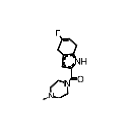 CN1CCN(C(=O)c2cc3c([nH]2)CC=C(F)C3)CC1